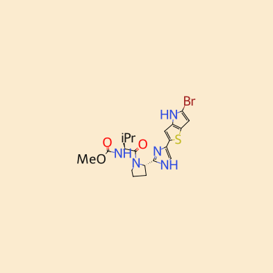 COC(=O)N[C@H](C(=O)N1CCC[C@H]1c1nc(-c2cc3[nH]c(Br)cc3s2)c[nH]1)C(C)C